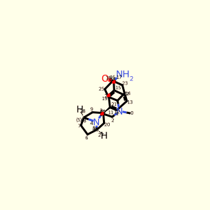 CN(CCN1[C@@H]2CC[C@H]1C[C@@H](c1cccc(C(N)=O)c1)C2)C1CCCCC1